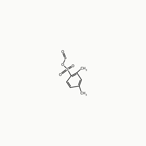 Cc1ccc(S(=O)(=O)OP=O)c(C)c1